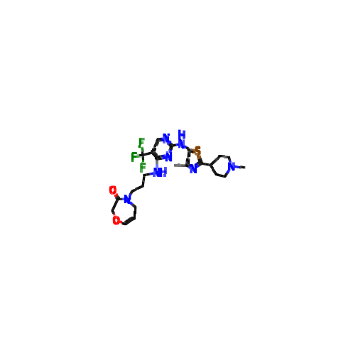 Cc1nc(C2CCN(C)CC2)sc1Nc1ncc(C(F)(F)F)c(NCCCN2CC=COCC2=O)n1